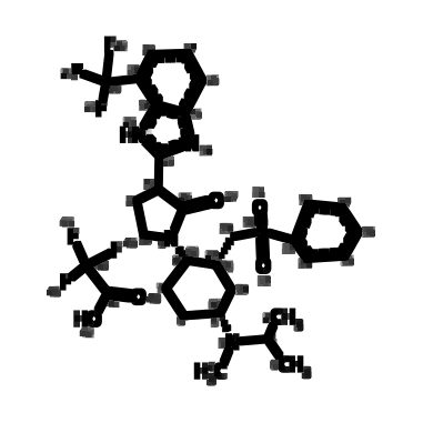 CC(C)N(C)[C@@H]1CC[C@H](N2CCC(c3nc4cccc(C(F)(F)F)c4[nH]3)C2=O)[C@H](CS(=O)(=O)c2ccccc2)C1.O=C(O)C(F)(F)F